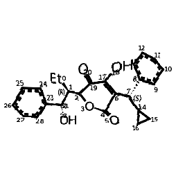 CC[C@@H](C1OC(=O)C([C@H](c2ccccc2)C2CC2)=C(O)C1=O)[C@H](O)c1ccccc1